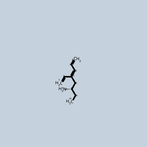 C=C/C=C(\C=C)C[C@@H](N)CC